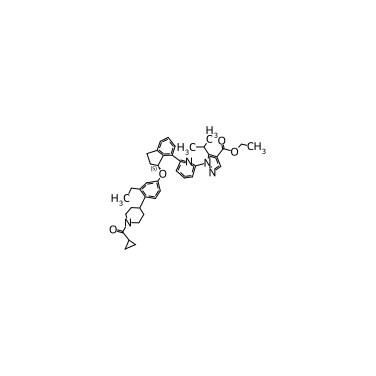 CCOC(=O)c1cnn(-c2cccc(-c3cccc4c3[C@@H](Oc3ccc(C5CCN(C(=O)C6CC6)CC5)c(CC)c3)CC4)n2)c1C(C)C